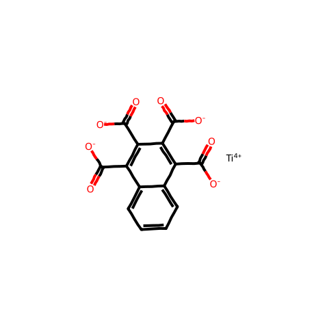 O=C([O-])c1c(C(=O)[O-])c(C(=O)[O-])c2ccccc2c1C(=O)[O-].[Ti+4]